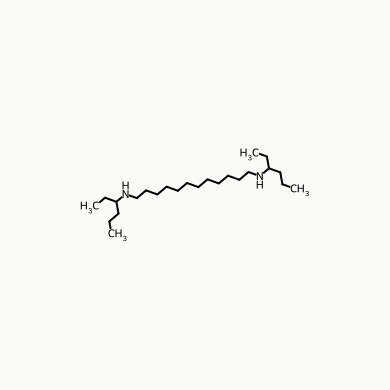 CCCC(CC)NCCCCCCCCCCCCNC(CC)CCC